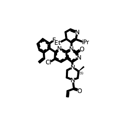 C=CC(=O)N1CCN(c2nc(=O)n(C3=C(C(C)C)N=CCC3CC)c3nc(-c4c(F)cccc4C=C)c(Cl)cc23)[C@@H](C)C1